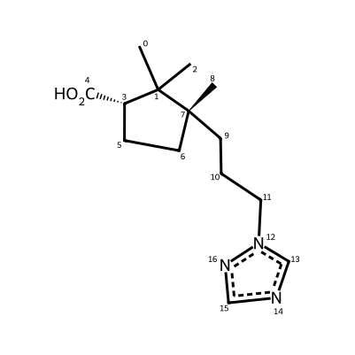 CC1(C)[C@@H](C(=O)O)CC[C@@]1(C)CCCn1cncn1